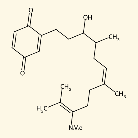 CNC(CCC(C)=CCC(C)C(O)CCC1=CC(=O)C=CC1=O)=C(C)C